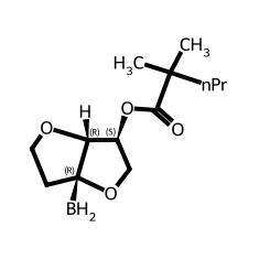 B[C@@]12CCO[C@@H]1[C@@H](OC(=O)C(C)(C)CCC)CO2